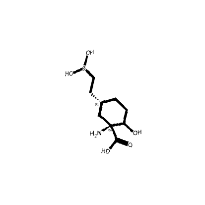 N[C@@]1(C(=O)O)C[C@H](CCB(O)O)CCC1O